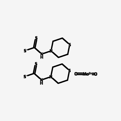 S=C([S-])NN1CCSCC1.S=C([S-])NN1CCSCC1.[O]=[Mo+2]=[O]